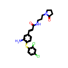 Nc1cc(C=CC(=O)NCCCN2CCCC2=O)ccc1Sc1ccc(Cl)cc1Cl